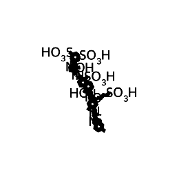 Cc1ccc2nc(N=Nc3cc(OCCCS(=O)(=O)O)c(N=Nc4ccc5c(S(=O)(=O)O)c(N=Nc6cnn(-c7cc(S(=O)(=O)O)cc(S(=O)(=O)O)c7)c6O)ccc5c4O)cc3C)sc2c1